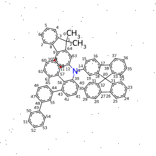 CC1(C)c2ccccc2-c2ccc(N(c3ccc4c(c3)C3(c5ccccc5-c5ccccc53)c3ccccc3-4)c3cccc(-c4cccc(-c5ccccc5)c4)c3-c3ccccc3)cc21